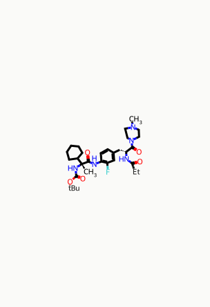 CCC(=O)N[C@H](Cc1ccc(NC(=O)[C@](C)(NC(=O)OC(C)(C)C)C2CCCCC2)c(F)c1)C(=O)N1CCN(C)CC1